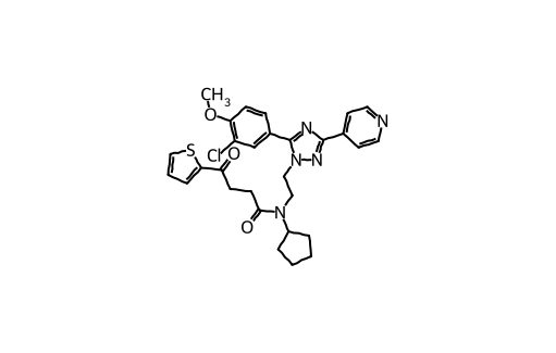 COc1ccc(-c2nc(-c3ccncc3)nn2CCN(C(=O)CCC(=O)c2cccs2)C2CCCC2)cc1Cl